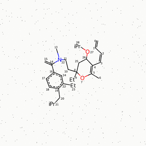 C=C/C=C\C1=C(C)OC(CC)(CCN(C)C(=C)c2ccc(CC(C)C)c(CC)c2)CC1OC(C)C